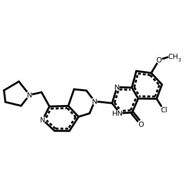 COc1cc(Cl)c2c(=O)[nH]c(N3CCc4c(ccnc4CN4CCCC4)C3)nc2c1